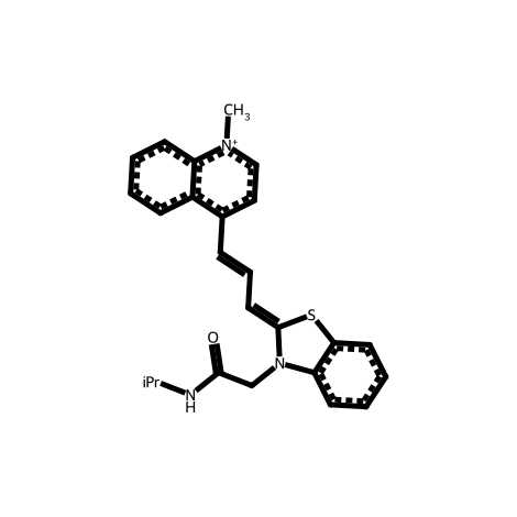 CC(C)NC(=O)CN1/C(=C/C=C/c2cc[n+](C)c3ccccc23)Sc2ccccc21